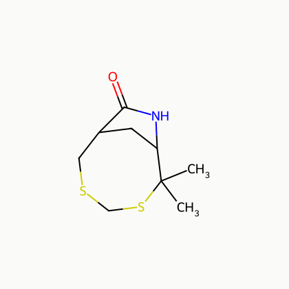 CC1(C)SCSCC2CC1NC2=O